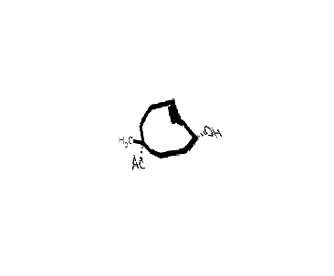 CC(=O)[C@]1(C)CC/C=C/[C@H](O)CC1